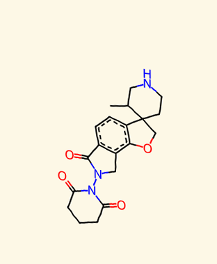 CC1CNCCC12COc1c2ccc2c1CN(N1C(=O)CCCC1=O)C2=O